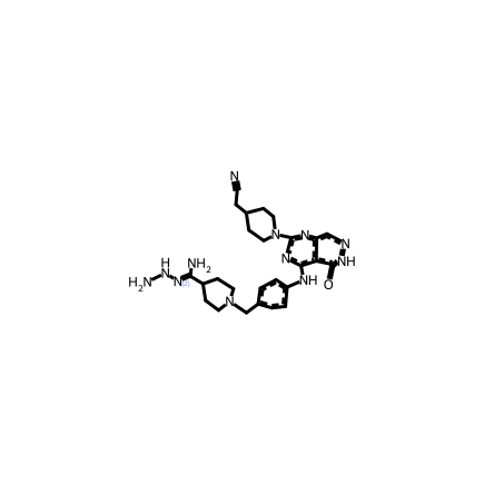 N#CCC1CCN(c2nc(Nc3ccc(CN4CCC(/C(N)=N/NN)CC4)cc3)c3c(=O)[nH]ncc3n2)CC1